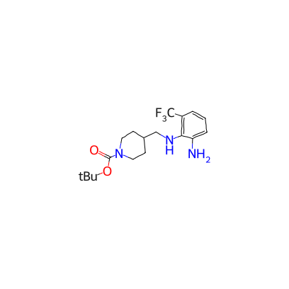 CC(C)(C)OC(=O)N1CCC(CNc2c(N)cccc2C(F)(F)F)CC1